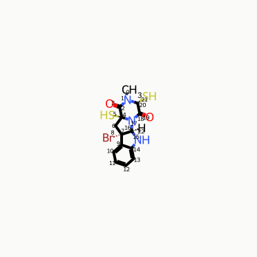 CN1C(=O)[C@@]2(S)C[C@]3(Br)c4ccccc4N[C@@H]3N2C(=O)[C@@H]1S